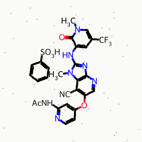 CC(=O)Nc1cc(Oc2cnc3nc(Nc4cc(C(F)(F)F)cn(C)c4=O)n(C)c3c2C#N)ccn1.O=S(=O)(O)c1ccccc1